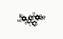 CCOc1ccc(N2C(=O)[C@@H](C)N(C3CCOCC3)c3nc(Nc4ccc5[nH]c(=O)oc5c4)ncc32)cc1C#N